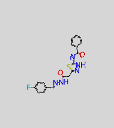 O=C(Cc1n[nH]/c(=N\C(=O)c2ccccc2)s1)N/N=C/c1ccc(F)cc1